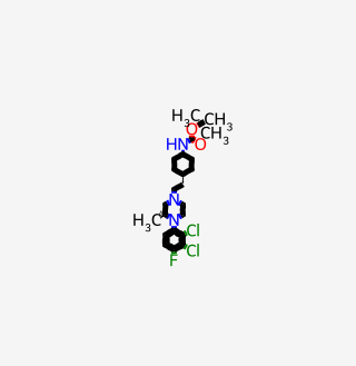 C[C@@H]1CN(CC[C@H]2CC[C@H](NC(=O)OC(C)(C)C)CC2)CCN1c1ccc(F)c(Cl)c1Cl